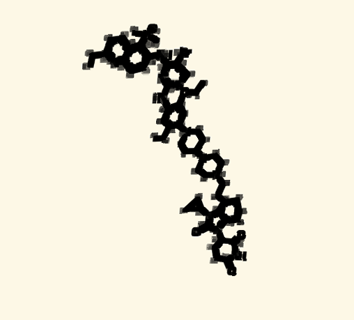 CCOc1cc(N2CCC(N3CCN(CCc4cccc5c4n(C4CC4)c(=O)n5C4CCC(=O)NC4=O)CC3)CC2)c(CC)cc1Nc1ncc(Br)c(Nc2ccc3nc(CC)ccc3c2P(C)(C)=O)n1